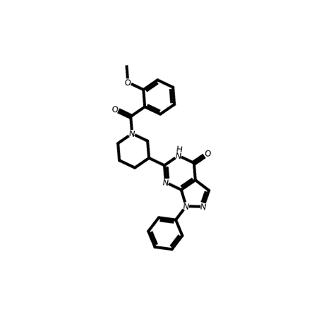 COc1ccccc1C(=O)N1CCCC(c2nc3c(cnn3-c3ccccc3)c(=O)[nH]2)C1